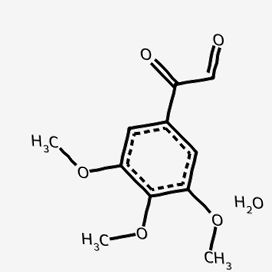 COc1cc(C(=O)C=O)cc(OC)c1OC.O